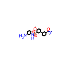 COc1ccc(-c2cccc(C(=O)N(C)C)c2)cc1S(=O)(=O)Nc1cccc(N)c1